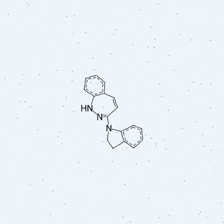 C1=Cc2ccccc2NN=C1N1CCc2ccccc21